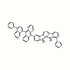 c1ccc(-c2ccc(-c3c4ccccc4c(-c4ccc5sc6c(ccc7c8cccc(-c9ccccc9)c8sc76)c5c4)c4ccccc34)c3ccccc23)cc1